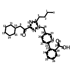 CCCCc1nc(C(=O)CC2CCCCC2)nn1Cc1ccc(-c2ccccc2C(=O)O)nc1